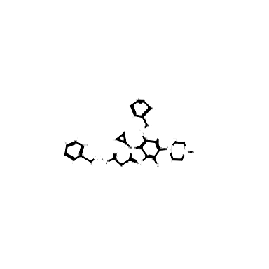 CN1CCN(c2c(F)c(NCc3ccccc3)c3c(nc(CC(=O)NOCc4ccccc4)n3C3CC3)c2F)CC1